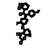 O=C1CNc2c(Oc3ccc(N(C(=O)c4ccc[nH]c4=O)c4ccc(F)cc4)cc3F)ccnc2O1